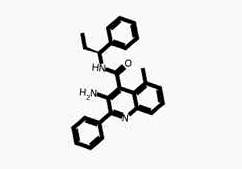 CC[C@H](NC(=O)c1c(N)c(-c2ccccc2)nc2cccc(C)c12)c1ccccc1